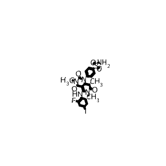 Cc1c(=O)n(C)c(Nc2ccc(I)cc2F)c2c(=O)n(C)c(=O)n(-c3ccc(S(N)(=O)=O)cc3)c12